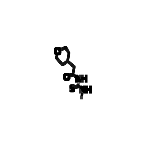 CNC(=S)NC(=O)CC1CCOCC1